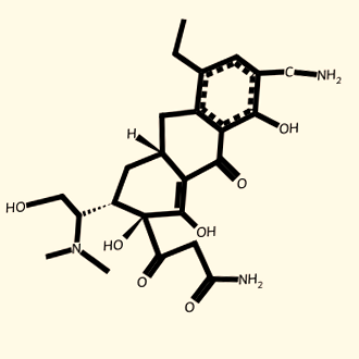 CCc1cc(CN)c(O)c2c1C[C@H]1C[C@@H](C(CO)N(C)C)[C@@](O)(C(=O)CC(N)=O)C(O)=C1C2=O